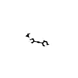 Fc1cc(Cl)ncc1C#Cc1cnn(C2CC2(F)F)c1